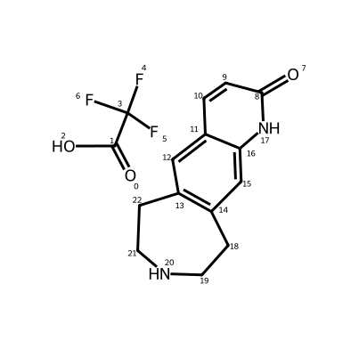 O=C(O)C(F)(F)F.O=c1ccc2cc3c(cc2[nH]1)CCNCC3